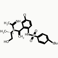 C=C(c1cc(Cl)ccc1NS(=O)(=O)c1ccc(C(C)(C)C)cc1)N(C(C)=N)[C@@H](C)CO